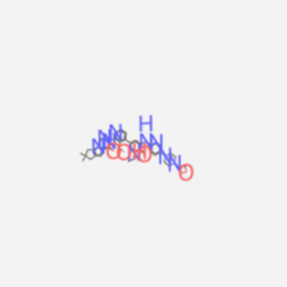 CCn1cc(-c2ccnc(-n3ncn4c5c(cc4c3=O)CC(C)(C)C5)c2CO)cc(Nc2ccc(N3CCN(C4COC4)CC3)cn2)c1=O